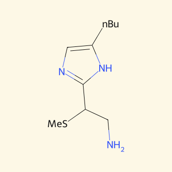 CCCCc1cnc(C(CN)SC)[nH]1